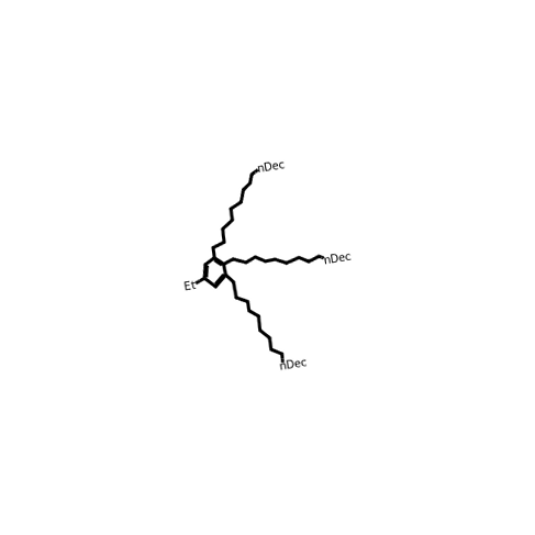 [CH2]Cc1cc(CCCCCCCCCCCCCCCCCCC)c(CCCCCCCCCCCCCCCCCCC)c(CCCCCCCCCCCCCCCCCCC)c1